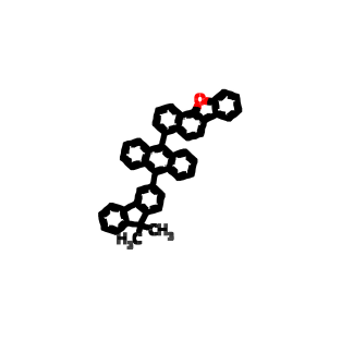 CC1(C)c2ccccc2-c2cc(-c3c4ccccc4c(-c4cccc5c4ccc4c6ccccc6oc54)c4ccccc34)ccc21